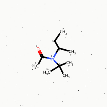 [CH2]C(=O)N(C(C)CC)C(C)(C)C